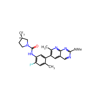 CNc1ncc2cc(-c3cc(NC(=O)N4CC[C@@H](C(F)(F)F)C4)c(F)cc3C)c(C)nc2n1